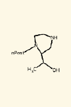 CCCCCN1CCNCC1C(C)O